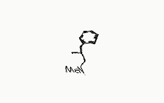 [CH2-][NH2+]C[C@@H](C)c1ccccc1